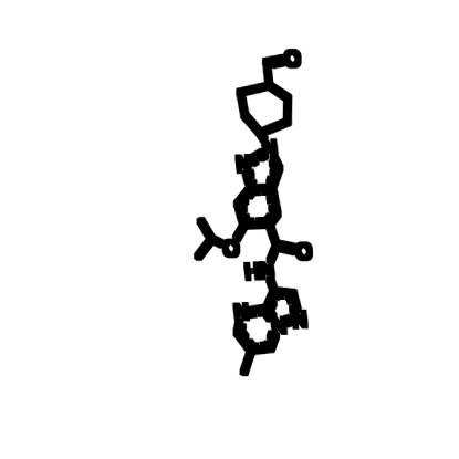 Cc1cnc2c(NC(=O)c3cc4cn(C5CCC(C=O)CC5)nc4cc3OC(C)C)cnn2c1